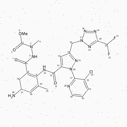 COC(=O)N(C)NC(=O)C1=C(NC(=O)c2cc(Cn3nnc(C(F)F)n3)nn2-c2ncccc2Cl)C(C)=CC(N)C1